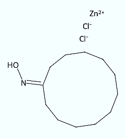 ON=C1CCCCCCCCCCC1.[Cl-].[Cl-].[Zn+2]